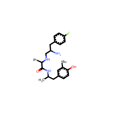 CC(Cc1ccc(O)c(C(C)(C)C)c1)NC(=O)C(NCC(N)Cc1ccc(F)cc1)C(C)C